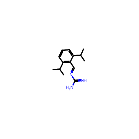 CC(C)c1cccc(C(C)C)c1C=NC(=N)N